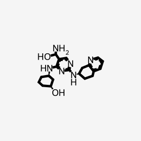 NC(O)c1cnc(N[C@H]2CCc3cccnc3C2)nc1N[C@@H]1CCC[C@H](O)C1